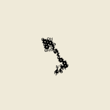 N#C[C@@H]1CC(F)(F)CN1C(=O)CNC(=O)c1ccnc2ccc(-c3ccc(OCCCN4CCN(C(=O)CNC(=O)c5ccc(C(=O)O)c(-c6c7ccc(=O)cc-7oc7cc(O)ccc67)c5)CC4)cc3)cc12